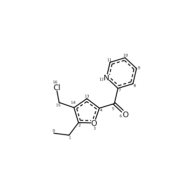 CCc1oc(C(=O)c2ccccn2)cc1CCl